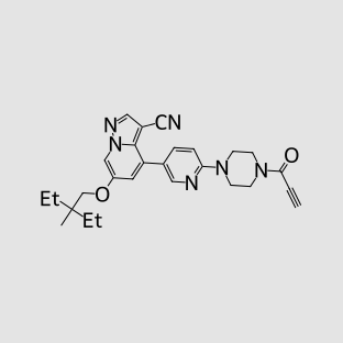 C#CC(=O)N1CCN(c2ccc(-c3cc(OCC(C)(CC)CC)cn4ncc(C#N)c34)cn2)CC1